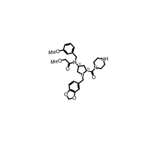 COCC(=O)N(Cc1cccc(OC)c1)[C@H]1C[C@@H](C(=O)N2CCNCC2)N(Cc2ccc3c(c2)OCO3)C1